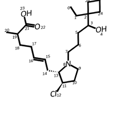 CCC1(C(O)CCCN2CC[C@@H](Cl)[C@@H]2CC=CCCC(C)C(=O)O)CCC1